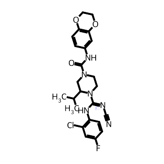 CC(C)C1CN(C(=O)Nc2ccc3c(c2)OCCO3)CCN1/C(=N/C#N)Nc1ccc(F)cc1Cl